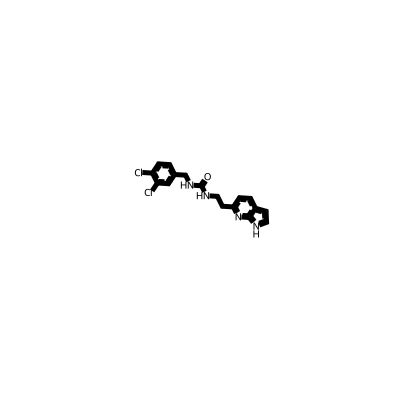 O=C(NCCc1ccc2cc[nH]c2n1)NCc1ccc(Cl)c(Cl)c1